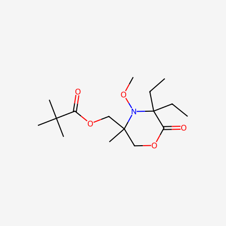 CCC1(CC)C(=O)OCC(C)(COC(=O)C(C)(C)C)N1OC